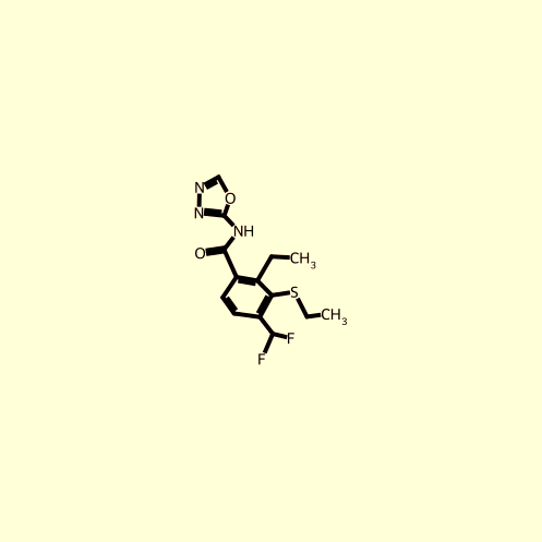 CCSc1c(C(F)F)ccc(C(=O)Nc2nnco2)c1CC